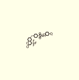 COc1ccc(CNS(=O)(=O)c2ccc(Cc3ccc4oc(=O)cc(C(F)(F)F)c4c3)cc2)cc1